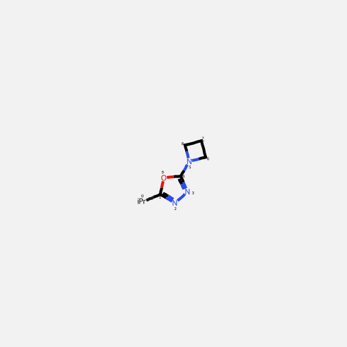 CC(C)c1nnc(N2C[CH]C2)o1